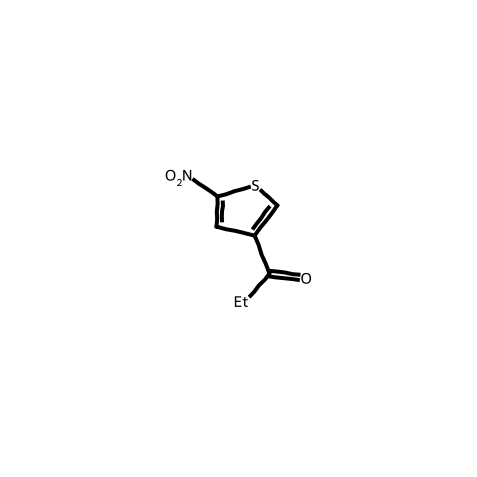 CCC(=O)c1csc([N+](=O)[O-])c1